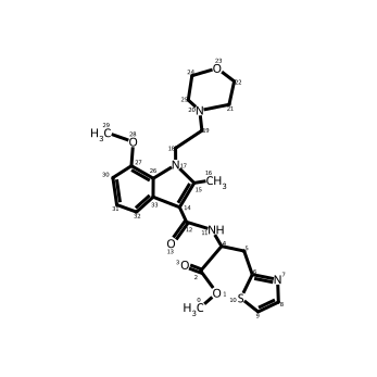 COC(=O)C(Cc1nccs1)NC(=O)c1c(C)n(CCN2CCOCC2)c2c(OC)cccc12